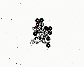 CC(C)C[C@H](NC(=O)[C@@H](COC(C)(C)C)NC(=O)[C@H](Cc1ccc(OCc2ccccc2)cc1)NC(=O)[C@H](COC(c1ccccc1)(c1ccccc1)c1ccccc1)NC(=O)[C@H](Cc1c[nH]c2ccccc12)NC(=O)[C@H](Cc1cn(C(c2ccccc2)(c2ccccc2)c2ccccc2)cn1)NC(=O)[C@@H]1CCC(=O)N1)C(=O)N[C@@H](CCCNC(=N)N)C(=O)O